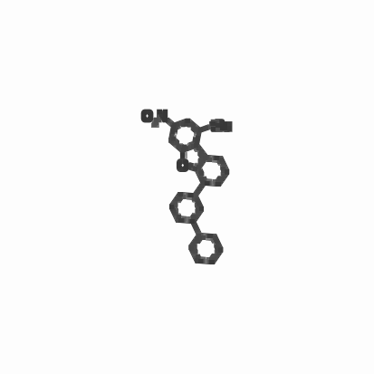 CC(C)(C)c1cc([N+](=O)[O-])cc2oc3c(-c4cccc(-c5ccccc5)c4)cccc3c12